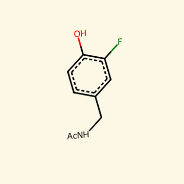 CC(=O)NCc1ccc(O)c(F)c1